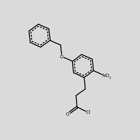 O=C(Cl)CCc1cc(OCc2ccccc2)ccc1[N+](=O)[O-]